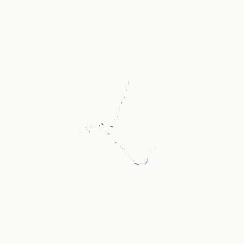 CCCC/C=C\C/C=C\CCCCCCCC(=O)OC[C@H](COP(=O)([O-])OCC[N+](C)(C)C)OC(=O)CCCCCCCCCCCCCCC